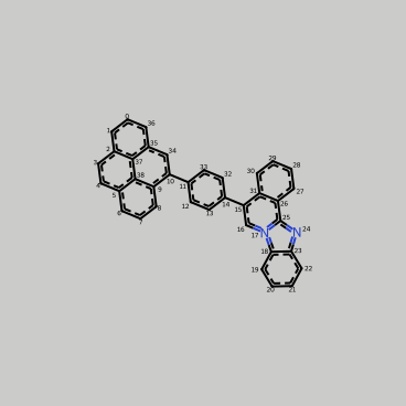 c1cc2ccc3cccc4c(-c5ccc(-c6cn7c8ccccc8nc7c7ccccc67)cc5)cc(c1)c2c34